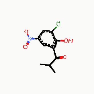 CC(C)C(=O)c1cc([N+](=O)[O-])cc(Cl)c1O